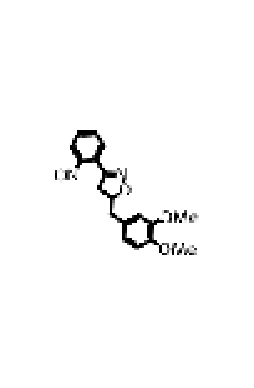 COc1ccc(CC2CC(c3ccccc3N=O)=NO2)cc1OC